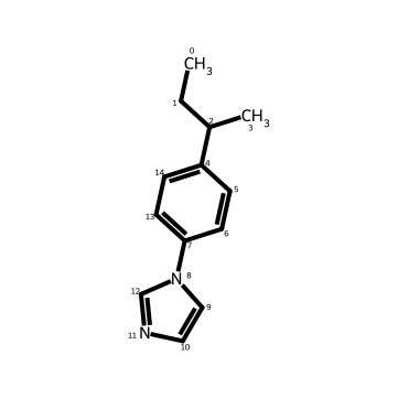 CCC(C)c1ccc(-n2ccnc2)cc1